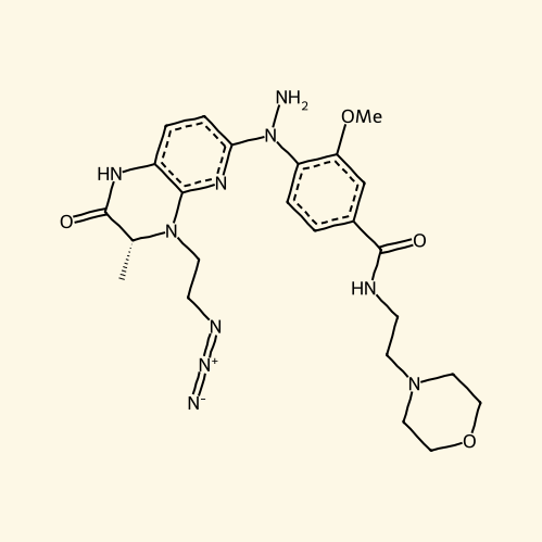 COc1cc(C(=O)NCCN2CCOCC2)ccc1N(N)c1ccc2c(n1)N(CCN=[N+]=[N-])[C@H](C)C(=O)N2